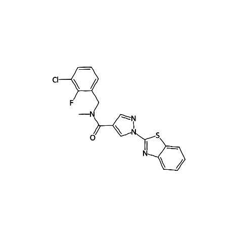 CN(Cc1cccc(Cl)c1F)C(=O)c1cnn(-c2nc3ccccc3s2)c1